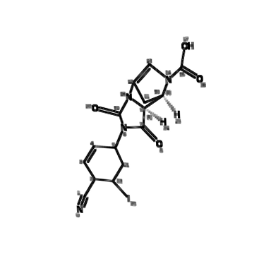 N#CC1C=CC(N2C(=O)[C@@H]3[C@H]4CC(=CN4C(=O)O)N3C2=O)CC1I